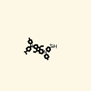 C=Cc1c2ccc(N(c3ccc(C)cc3)c3ccc([SiH](C)C)cc3)cc2c(C=C)c2ccc(N(c3ccc(C)cc3)c3ccc(C(C)C)cc3)cc12